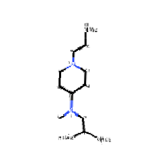 CCCCCCC(CCCCCC)CN(C)C1CCN(CCNC)CC1